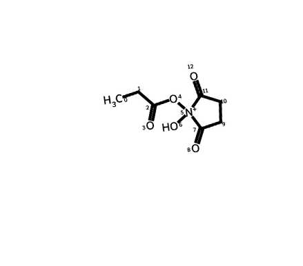 CCC(=O)O[N+]1(O)C(=O)CCC1=O